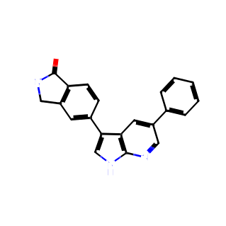 O=C1NCc2cc(-c3c[nH]c4ncc(-c5ccccc5)cc34)ccc21